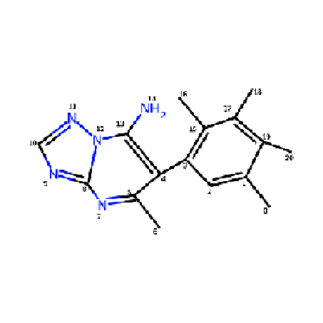 Cc1cc(-c2c(C)nc3ncnn3c2N)c(C)c(C)c1C